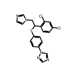 Clc1ccc(C(Cn2ccnc2)Sc2ccc(-n3cncn3)cc2)c(Cl)c1